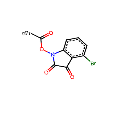 CCCC(=O)ON1C(=O)C(=O)c2c(Br)cccc21